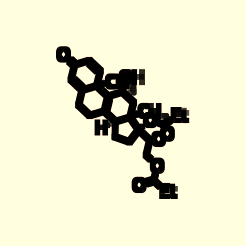 CCC(=O)OCC(=O)[C@@]1(OC(=O)CC)CC[C@H]2C3=C([C@@H](O)C[C@@]21C)[C@@]1(C)C=CC(=O)C=C1CC3